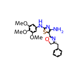 COc1cc(Nc2nc(N)c(C3=N[C@@H](Cc4ccccc4)CO3)s2)cc(OC)c1OC